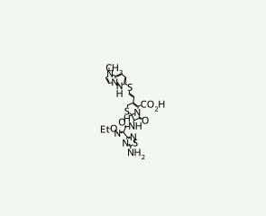 CCO/N=C(\C(=O)N[C@@H]1C(=O)N2C(C(=O)O)=C(/C=C/SC3=CC=C4N(C)C=CN4N3)CS[C@@H]12)c1nsc(N)n1